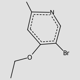 CCOc1cc(C)ncc1Br